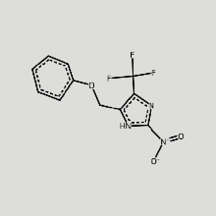 O=[N+]([O-])c1nc(C(F)(F)F)c(COc2ccccc2)[nH]1